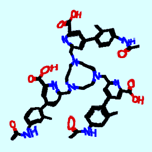 CC(=O)Nc1ccc(-c2cc(CN3CCN(Cc4cc(-c5ccc(NC(C)=O)cc5C)cc(C(=O)O)n4)CCN(Cc4cc(-c5ccc(NC(C)=O)cc5C)cc(C(=O)O)n4)CC3)nc(C(=O)O)c2)c(C)c1